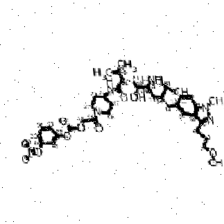 COCCCc1nn(C)c2ccc(C[C@@H](C[C@H](N)[C@@H](O)C[C@H](C(=O)NC3CCN(C(=O)COC(=O)Oc4cccc(O[N+](=O)[O-])c4)CC3)C(C)C)C(C)C)cc12